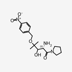 CC(C)(OCc1ccc([N+](=O)[O-])cc1)C(O)[C@H](N)C(=O)N1CCCC1